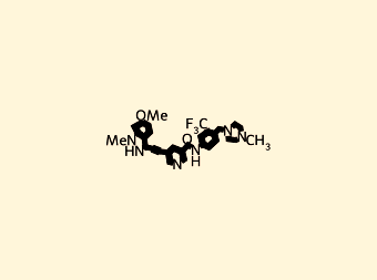 CNc1cc(OC)ccc1C(=N)C#Cc1cncc(C(=O)Nc2ccc(CN3CCN(C)CC3)c(C(F)(F)F)c2)c1